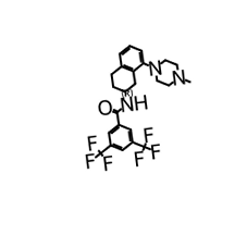 CN1CCN(c2cccc3c2C[C@H](NC(=O)c2cc(C(F)(F)F)cc(C(F)(F)F)c2)CC3)CC1